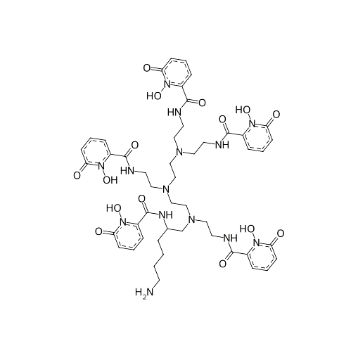 NCCCCC(CN(CCNC(=O)c1cccc(=O)n1O)CCN(CCNC(=O)c1cccc(=O)n1O)CCN(CCNC(=O)c1cccc(=O)n1O)CCNC(=O)c1cccc(=O)n1O)NC(=O)c1cccc(=O)n1O